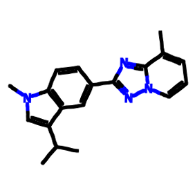 Cc1cccn2nc(-c3ccc4c(c3)c(C(C)C)cn4C)nc12